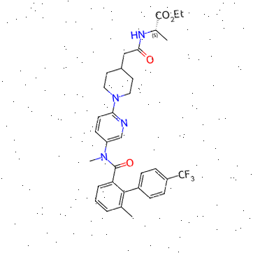 CCOC(=O)[C@H](C)NC(=O)CC1CCN(c2ccc(N(C)C(=O)c3cccc(C)c3-c3ccc(C(F)(F)F)cc3)cn2)CC1